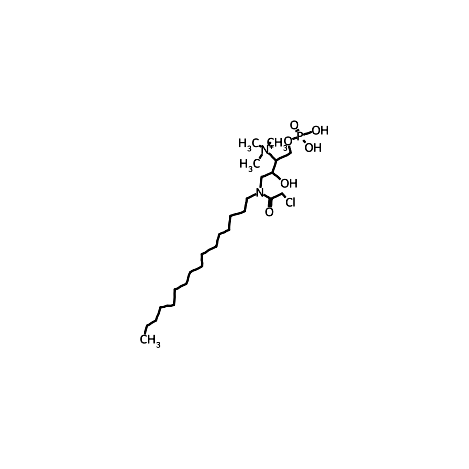 CCCCCCCCCCCCCCCCN(CC(O)C(COP(=O)(O)O)[N+](C)(C)C)C(=O)CCl